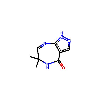 CC1(C)C=Nc2[nH]ncc2C(=O)N1